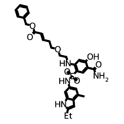 CCc1cc2c(C)cc(NS(=O)(=O)c3cc(C(N)=O)c(O)cc3NCCOCC/C=C/C(=O)OCc3ccccc3)cc2[nH]1